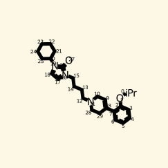 CC(C)Oc1ccccc1C1=CCN(CCCCn2ccn(C3CCCCC3)c2=O)CC1